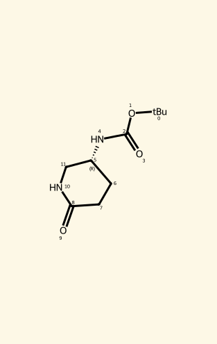 CC(C)(C)OC(=O)N[C@@H]1CCC(=O)NC1